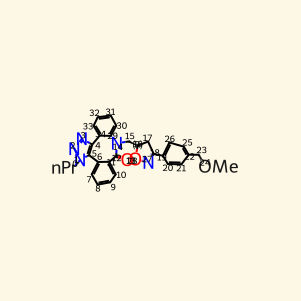 CCCn1nnc2c1-c1ccccc1C(=O)N(C[C@H]1CC(c3ccc(COC)cc3)=NO1)c1ccccc1-2